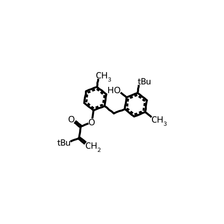 C=C(C(=O)Oc1ccc(C)cc1Cc1cc(C)cc(C(C)(C)C)c1O)C(C)(C)C